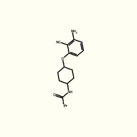 CC(C)C(=O)NC1CCC(Oc2cccc(N)c2C#N)CC1